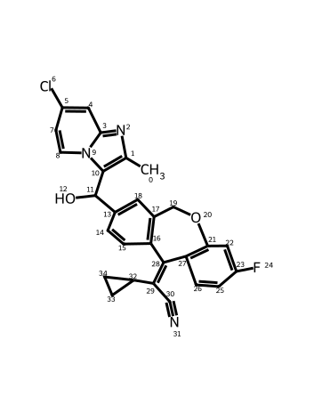 Cc1nc2cc(Cl)ccn2c1C(O)c1ccc2c(c1)COc1cc(F)ccc1C2=C(C#N)C1CC1